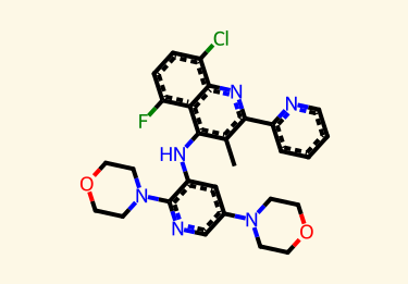 Cc1c(-c2ccccn2)nc2c(Cl)ccc(F)c2c1Nc1cc(N2CCOCC2)cnc1N1CCOCC1